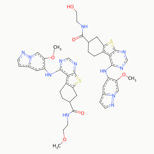 COCCNC(=O)C1CCc2c(sc3ncnc(Nc4cc5ccnn5cc4OC)c23)C1.COc1cn2nccc2cc1Nc1ncnc2sc3c(c12)CCC(C(=O)NCCO)C3